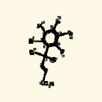 O=C(O)C=CC(Br)(Br)c1c(Br)c(Br)c(Br)c(Br)c1Br